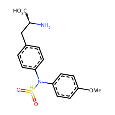 COc1ccc(N(c2ccc(C[C@H](N)C(=O)O)cc2)[SH](=O)=O)cc1